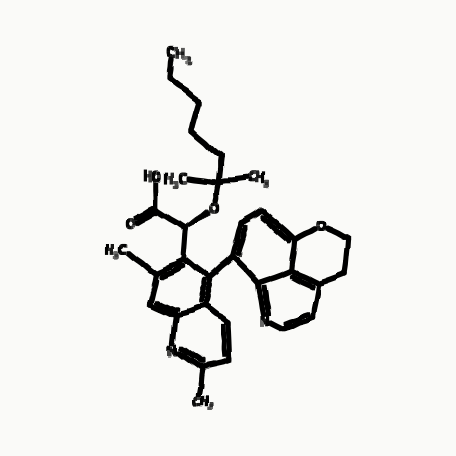 CCCCCC(C)(C)O[C@H](C(=O)O)c1c(C)cc2nc(C)ccc2c1-c1ccc2c3c(ccnc13)CCO2